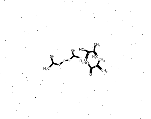 C=C(C)C(=O)O.C=C(C)C(=O)O.CC(S)SOSC(C)S